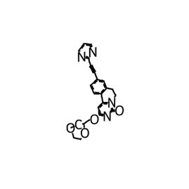 O=c1nc(OCC2COCCO2)cc2n1CCc1cc(C#Cc3ncccn3)ccc1-2